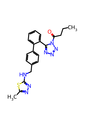 CCCC(=O)n1nnnc1-c1ccccc1-c1ccc(CNc2nnc(C)s2)cc1